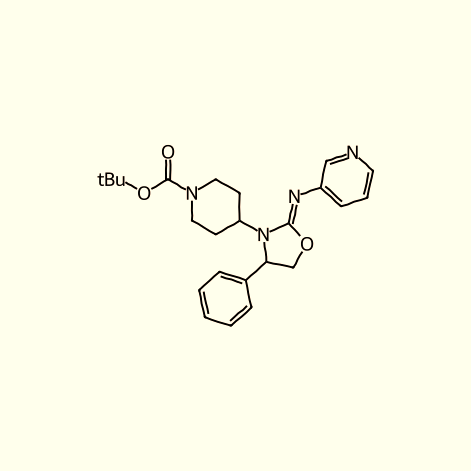 CC(C)(C)OC(=O)N1CCC(N2C(=Nc3cccnc3)OCC2c2ccccc2)CC1